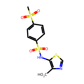 CS(=O)(=O)c1ccc(S(=O)(=O)Nc2scnc2C(=O)O)cc1